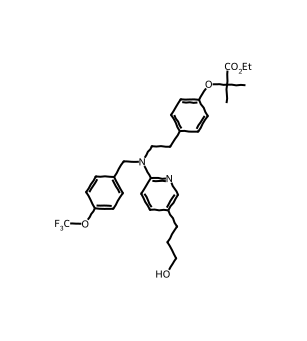 CCOC(=O)C(C)(C)Oc1ccc(CCN(Cc2ccc(OC(F)(F)F)cc2)c2ccc(CCCO)cn2)cc1